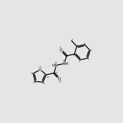 Cc1ccccc1C(=O)NNC(=O)c1ccco1